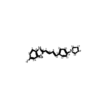 Fc1ccc2nc(C=CC=Cc3ccc(N4CCCC4)cc3)sc2c1